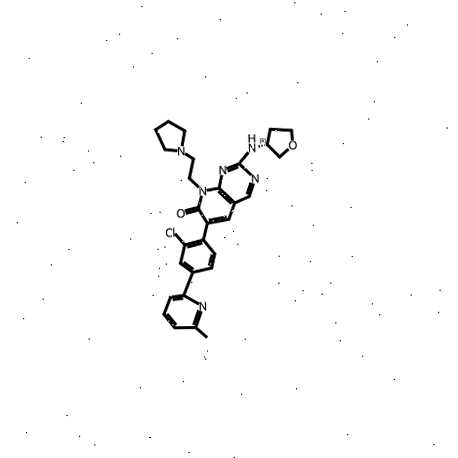 Cc1cccc(-c2ccc(-c3cc4cnc(N[C@@H]5CCOC5)nc4n(CCN4CCCC4)c3=O)c(Cl)c2)n1